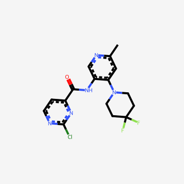 Cc1cc(N2CCC(F)(F)CC2)c(NC(=O)c2ccnc(Cl)n2)cn1